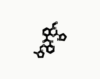 CC(Oc1c(NC=O)ccnc1C(=O)Nc1ncccc1OC[C@H]1CCCN1C)[C@@H]1CCCN1